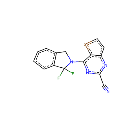 N#Cc1nc(N2Cc3ccccc3C2(F)F)c2sccc2n1